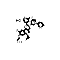 Cc1cc(CN(Cc2cn(C3CC3)c3cc(OCCO)c(F)cc3c2=O)[C@H]2C[C@H](F)CN(c3cccnc3)C2)ccn1.Cl